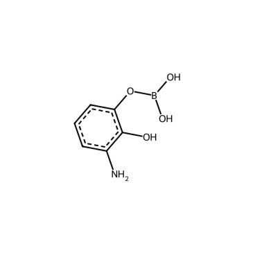 Nc1cccc(OB(O)O)c1O